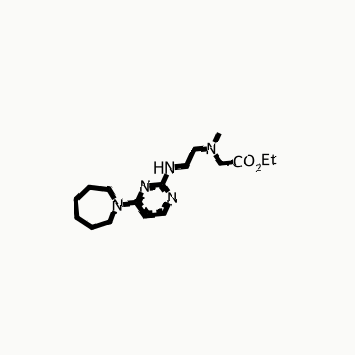 CCOC(=O)CN(C)CCNc1nccc(N2CCCCCC2)n1